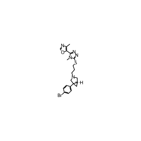 Cc1ncoc1-c1nnc(SCCCN2C[C@H]3CC3(c3ccc(Br)cc3)C2)n1C